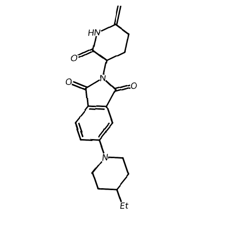 C=C1CCC(N2C(=O)c3ccc(N4CCC(CC)CC4)cc3C2=O)C(=O)N1